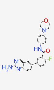 Nc1ncc2cc(-c3ccc(F)c(C(=O)Nc4ccc(N5CCOCC5)cc4)c3)ccc2n1